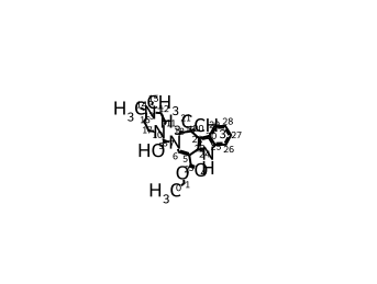 CCOC(=O)C1=CN(C(O)N2CC[N+](C)(C)CC2)CC(C)(C)c2c1[nH]c1ccccc21